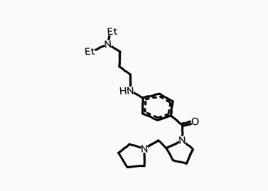 CCN(CC)CCCNc1ccc(C(=O)N2CCCC2CN2CCCC2)cc1